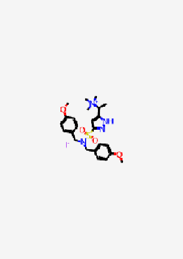 COc1ccc(CN(Cc2ccc(OC)cc2)S(=O)(=O)c2cc(C(C)[N+](C)(C)C)[nH]n2)cc1.[I-]